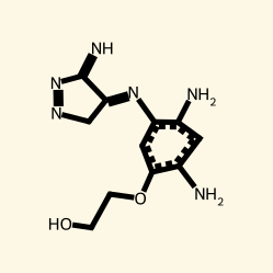 N=C1N=NCC1=Nc1cc(OCCO)c(N)cc1N